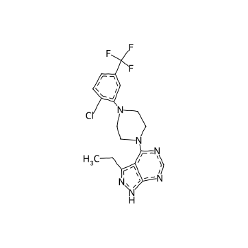 CCc1n[nH]c2ncnc(N3CCN(c4cc(C(F)(F)F)ccc4Cl)CC3)c12